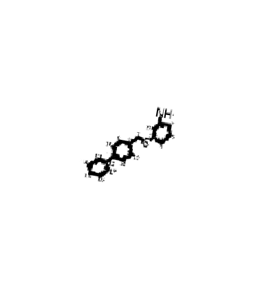 [NH]c1cccc(SCc2ccc(-c3ccccc3)cc2)c1